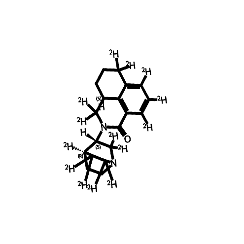 [2H]c1c([2H])c2c3c(c1[2H])C([2H])([2H])CC[C@@H]3C([2H])([2H])N([C@@H]1C([2H])([2H])N3CC[C@]1([2H])C([2H])([2H])C3([2H])[2H])C2=O